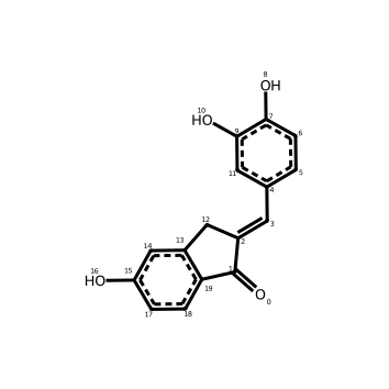 O=C1/C(=C/c2ccc(O)c(O)c2)Cc2cc(O)ccc21